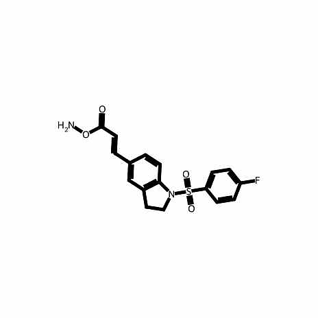 NOC(=O)/C=C/c1ccc2c(c1)CCN2S(=O)(=O)c1ccc(F)cc1